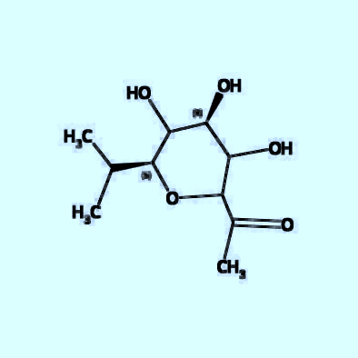 CC(=O)C1O[C@@H](C(C)C)C(O)[C@@H](O)C1O